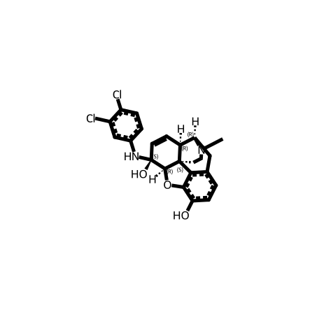 CN1CC[C@]23c4c5ccc(O)c4O[C@H]2[C@](O)(Nc2ccc(Cl)c(Cl)c2)C=C[C@H]3[C@H]1C5